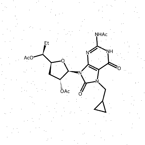 CC[C@H](OC(C)=O)[C@@H]1C[C@@H](OC(C)=O)[C@H](n2c(=O)n(CC3CC3)c3c(=O)[nH]c(NC(C)=O)nc32)O1